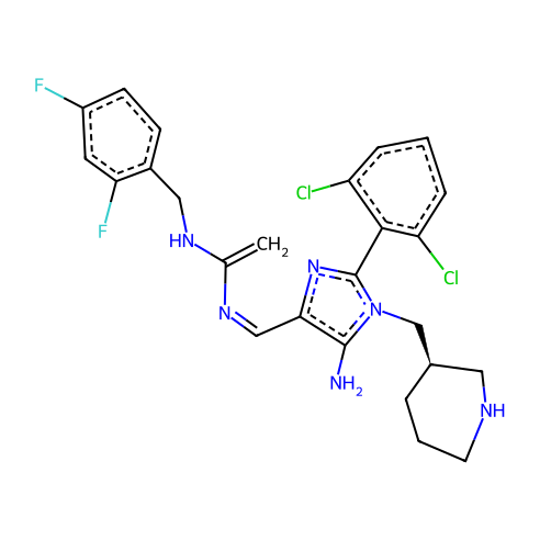 C=C(/N=C\c1nc(-c2c(Cl)cccc2Cl)n(C[C@@H]2CCCNC2)c1N)NCc1ccc(F)cc1F